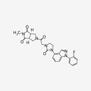 CN1C(=O)[C@H]2CN(C(=O)CN3CCN(c4cccc5c4cnn5-c4ccccc4F)C3=O)C[C@H]2C1=O